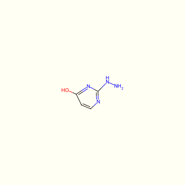 NNc1nccc(O)n1